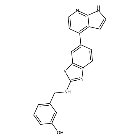 Oc1cccc(CNc2nc3ccc(-c4ccnc5[nH]ccc45)cc3s2)c1